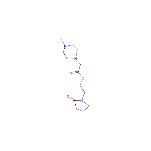 CN1CCN(CC(=O)OCCN2CCCC2=O)CC1